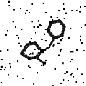 Fc1cccc[n+]1Cc1ccccc1